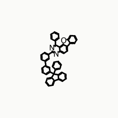 c1ccc(-c2nc(-c3cccc(-c4cccc(C5(c6ccccc6)c6ccccc6-c6ccccc65)c4)c3)nc3ccc4c5ccccc5oc4c23)cc1